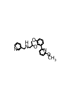 COc1cccc(-c2cccc3c2OC(CNCc2cccnc2)CO3)n1